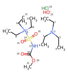 CCN(CC)CC.CC[N+](CC)(CC)S(=O)(=O)NC(=O)OC.Cl.[OH-]